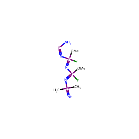 COP(F)(=NP(C)(C)=N)N=P(F)(/N=P\N)OC